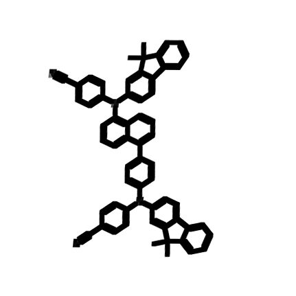 CC1(C)c2ccccc2-c2ccc(N(c3ccc(C#N)cc3)c3ccc(-c4cccc5c(N(c6ccc(C#N)cc6)c6ccc7c(c6)C(C)(C)c6ccccc6-7)cccc45)cc3)cc21